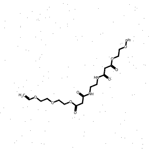 C=COCCOCCOC(=O)CC(=O)NCCNC(=O)CC(=O)OCCOCCC